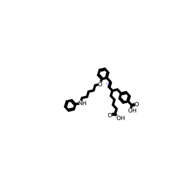 O=C(O)CCCCC(/C=C/c1ccccc1OCCCCCNc1ccccc1)Cc1ccc(C(=O)O)cc1